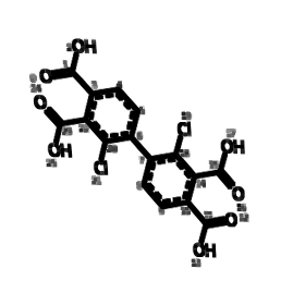 O=C(O)c1ccc(-c2ccc(C(=O)O)c(C(=O)O)c2Cl)c(Cl)c1C(=O)O